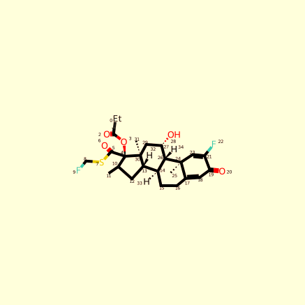 CCC(=O)O[C@]1(C(=O)SCF)C(C)C[C@H]2[C@@H]3CCC4=CC(=O)C(F)=C[C@]4(C)[C@H]3[C@@H](O)C[C@@]21C